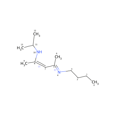 CCCC/N=C(C)/C=C(/C)NC(C)C